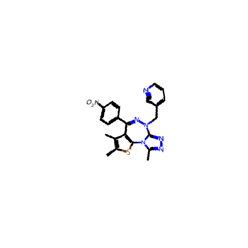 Cc1sc2c(c1C)C(c1ccc([N+](=O)[O-])cc1)=NN(Cc1cccnc1)c1nnc(C)n1-2